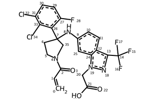 C=CC(=O)N1CCC(Nc2ccc3c(C(F)(F)F)nn(CC(=O)O)c3c2)(c2c(F)ccc(Cl)c2Cl)C1